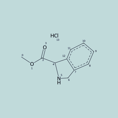 COC(=O)C1NCc2ccccc21.Cl